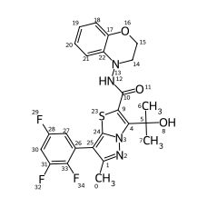 Cc1nn2c(C(C)(C)O)c(C(=O)NN3CCOc4ccccc43)sc2c1-c1cc(F)cc(F)c1F